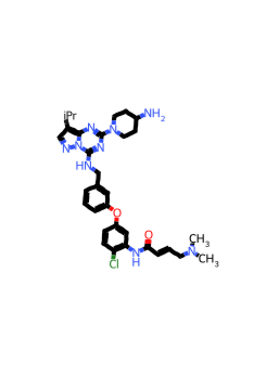 CC(C)c1cnn2c(NCc3cccc(Oc4ccc(Cl)c(NC(=O)/C=C/CN(C)C)c4)c3)nc(N3CCC(N)CC3)nc12